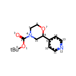 CC(C)(C)OC(=O)N1CCOC(c2ccncc2)C1